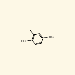 Cc1cc(OCC(C)C)ccc1C=O